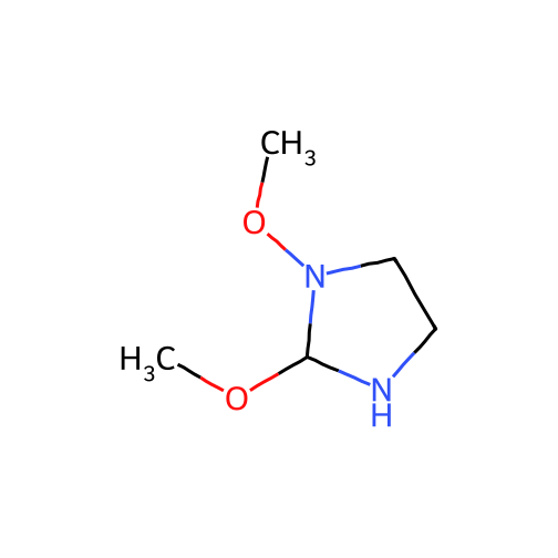 COC1NCCN1OC